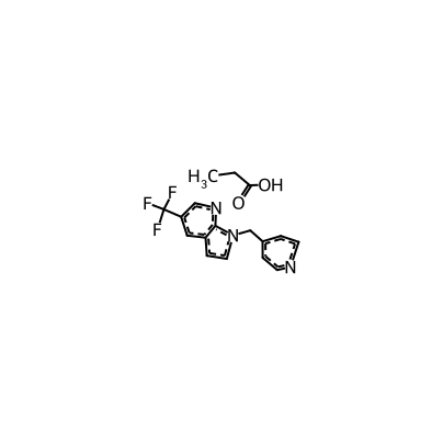 CCC(=O)O.FC(F)(F)c1cnc2c(ccn2Cc2ccncc2)c1